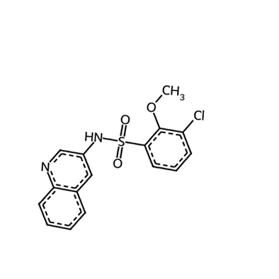 COc1c(Cl)cccc1S(=O)(=O)Nc1cnc2ccccc2c1